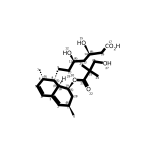 C[C@H]1C=C2C=C[C@H](C)[C@H](CC[C@@H](O)C[C@@H](O)CC(=O)O)[C@H]2[C@@H](OC(=O)C(C)(C)CO)C1